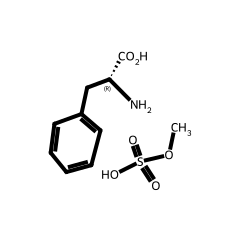 COS(=O)(=O)O.N[C@H](Cc1ccccc1)C(=O)O